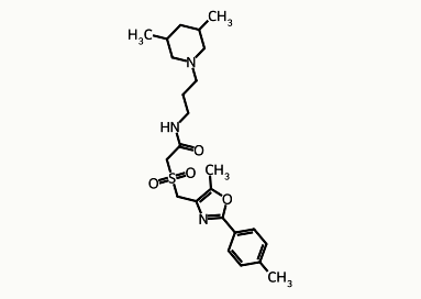 Cc1ccc(-c2nc(CS(=O)(=O)CC(=O)NCCCN3CC(C)CC(C)C3)c(C)o2)cc1